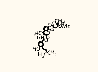 COC1CCC(Oc2ccc3c(O)c(NC(=O)c4ccc(O)c(CC=C(C)C)c4)c(=O)oc3c2Cl)OC1(C)C